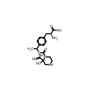 CC(OC(=O)N1CCNCC1(O)C(=N)N)c1ccc(C[C@H](N)C(=O)O)cc1